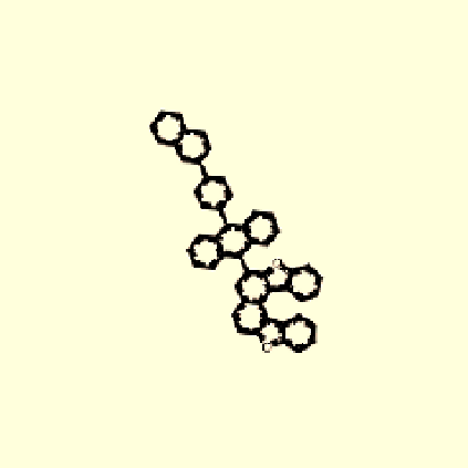 c1ccc2cc(-c3ccc(-c4c5ccccc5c(-c5cc6ccc7oc8ccccc8c7c6c6c5oc5ccccc56)c5ccccc45)cc3)ccc2c1